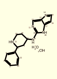 Cl.O.c1ccc(C2CC(Nc3ncc4nccc-4[nH]3)CCN2)cc1